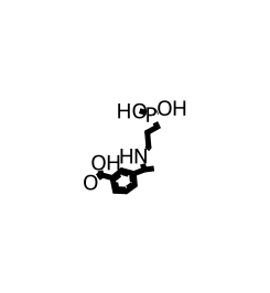 CC(NCCCP(O)O)c1cccc(C(=O)O)c1